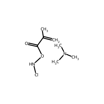 C=C(C)C(=O)ONCl.CN(C)C